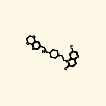 O=c1ccc2ncc(F)cc2n1CCN1CCC(NCc2cnc3c(c2)OCCO3)CC1